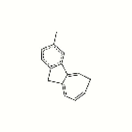 Cc1ccc2c(c1)C1=CCC=CC=C1C2